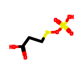 O=C(O)CCSOS(=O)(=O)O